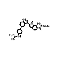 CNC(=N)N(C)c1ccc2nc(-c3c[nH]c4ccc(-c5ccc(NC(=N)N)cc5)cc34)n(C)c2c1